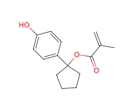 C=C(C)C(=O)OC1(c2ccc(O)cc2)CCCC1